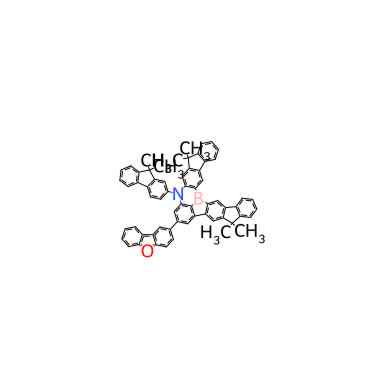 CC1(C)c2ccccc2-c2ccc(N3c4cc5c(cc4B4c6cc7c(cc6-c6cc(-c8ccc9oc%10ccccc%10c9c8)cc3c64)C(C)(C)c3ccccc3-7)-c3ccccc3C5(C)C)cc21